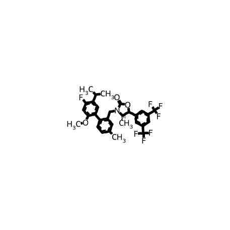 COc1cc(F)c(C(C)C)cc1-c1ccc(C)cc1CN1C(=O)OC(c2cc(C(F)(F)F)cc(C(F)(F)F)c2)[C@@H]1C